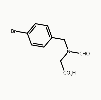 O=CN(CC(=O)O)Cc1ccc(Br)cc1